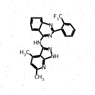 Cc1cc(C)c2c(Nc3nc(-c4ccccc4C(F)(F)F)nc4ccccc34)n[nH]c2n1